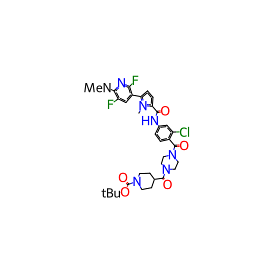 CNc1nc(F)c(-c2ccc(C(=O)Nc3ccc(C(=O)N4CCN(C(=O)C5CCN(C(=O)OC(C)(C)C)CC5)CC4)c(Cl)c3)n2C)cc1F